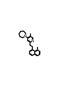 Cc1cnc(CCc2cccc3cccc(C)c23)cc1N1CCCCCC1